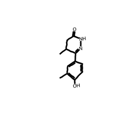 Cc1cc(C2=NNC(=O)CC2C)ccc1O